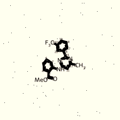 COC(=O)c1ccccc1Nc1cc(C)nc(-c2cccc(C(F)(F)F)c2)n1